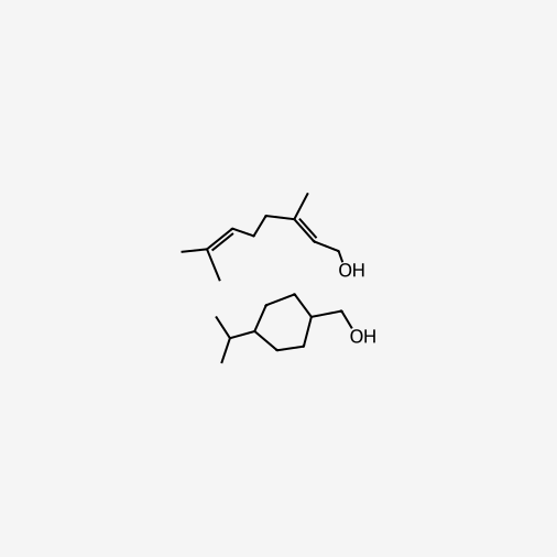 CC(C)=CCCC(C)=CCO.CC(C)C1CCC(CO)CC1